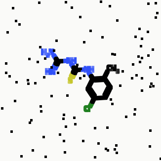 Cc1ccc(Cl)cc1NC(=S)NC(=N)N